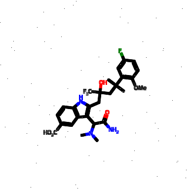 COc1ccc(F)cc1C(C)(C)CC(O)(Cc1[nH]c2ccc(C(=O)O)cc2c1C(C(N)=O)N(C)C)C(F)(F)F